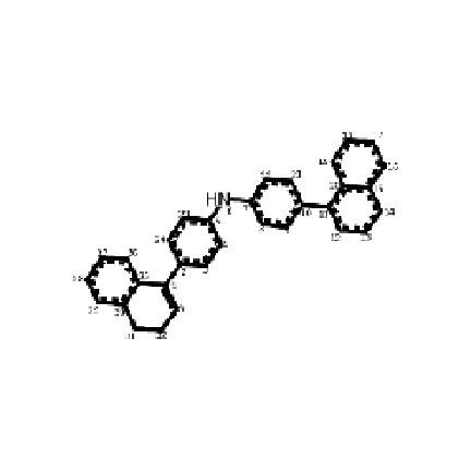 C1=C(c2ccc(Nc3ccc(-c4cccc5ccccc45)cc3)cc2)c2ccccc2CC1